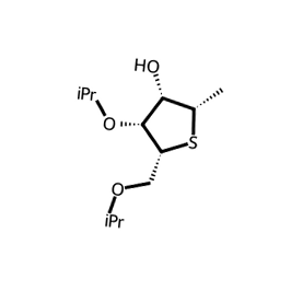 CC(C)OC[C@H]1S[C@@H](C)[C@@H](O)[C@H]1OC(C)C